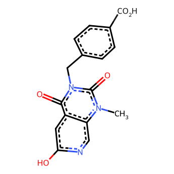 Cn1c(=O)n(Cc2ccc(C(=O)O)cc2)c(=O)c2cc(O)ncc21